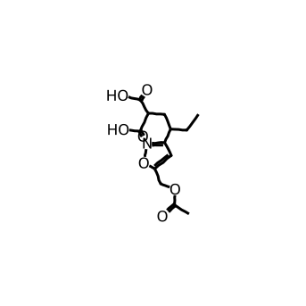 CCC(CC(C(=O)O)C(=O)O)c1cc(COC(C)=O)on1